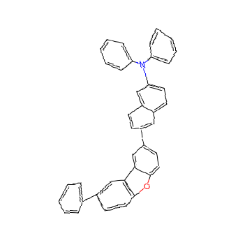 c1ccc(-c2ccc3oc4ccc(-c5ccc6cc(N(c7ccccc7)c7ccccc7)ccc6c5)cc4c3c2)cc1